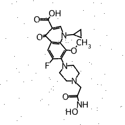 COc1c(N2CCN(CC(=O)NO)CC2)c(F)cc2c(=O)c(C(=O)O)cn(C3CC3)c12